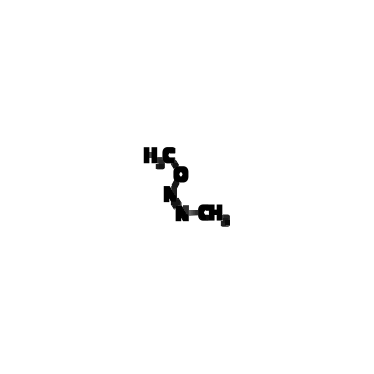 C/N=N\OC